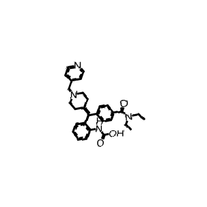 CCN(CC)C(=O)c1ccc(C(=C2CCN(Cc3ccncc3)CC2)c2ccccc2NC(=O)O)cc1